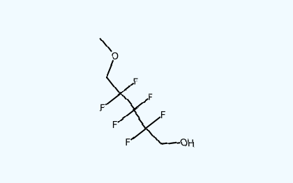 COCC(F)(F)C(F)(F)C(F)(F)CO